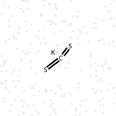 S=C=S.[K]